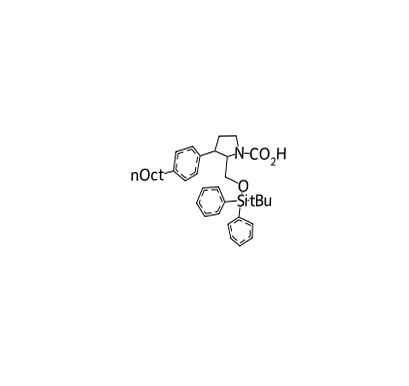 CCCCCCCCc1ccc(C2CCN(C(=O)O)C2CO[Si](c2ccccc2)(c2ccccc2)C(C)(C)C)cc1